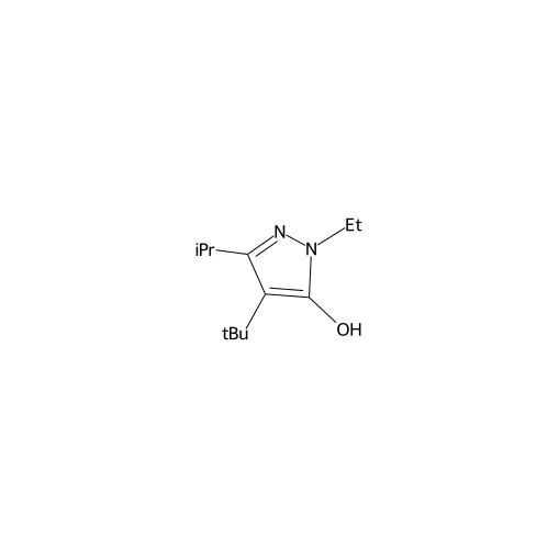 CCn1nc(C(C)C)c(C(C)(C)C)c1O